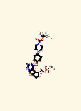 CC(C)(C)OC(=O)N1CCN(C2CCC(Oc3ncnc4sc5c(c34)[C@@H](COS(C)(=O)=O)CC5)CC2)CC1